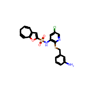 Nc1cccc(CSc2ncc(Cl)cc2NS(=O)(=O)c2cc3c(o2)C#CCC=C3)c1